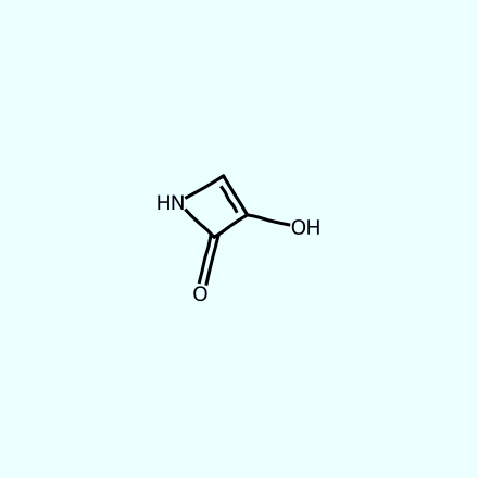 O=C1NC=C1O